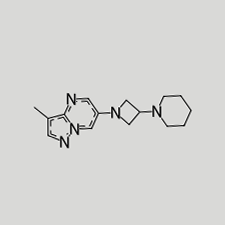 Cc1cnn2cc(N3CC(N4CCCCC4)C3)cnc12